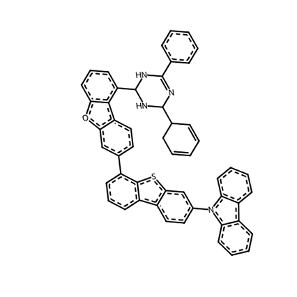 C1=CCC(C2N=C(c3ccccc3)NC(c3cccc4oc5cc(-c6cccc7c6sc6cc(-n8c9ccccc9c9ccccc98)ccc67)ccc5c34)N2)C=C1